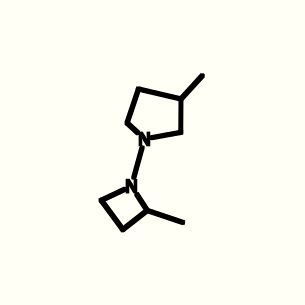 CC1CCN(N2CCC2C)C1